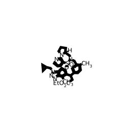 CCOC(=O)CC(c1ccc(C)c(CN2C[C@H]3CCCN3c3ncccc3S2(=O)=O)c1)c1ccc2c(nnn2CC2CC2)c1C